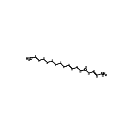 CCCCCCCCCCCCCOCC=CN